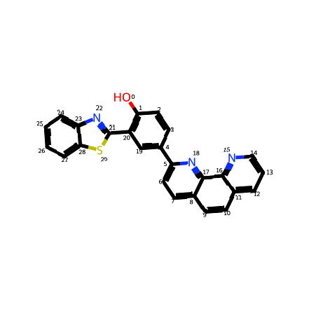 Oc1ccc(-c2ccc3ccc4cccnc4c3n2)cc1-c1nc2ccccc2s1